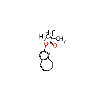 CC(C)(C)C(=O)Oc1ccc2c(c1)CCCC=C2